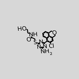 Nc1nc(SCC(=O)NCCO)nc(-c2c(Cl)cc3c4c(cccc24)COC3)n1